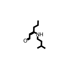 CCCC(=CC=O)NCCC(C)C